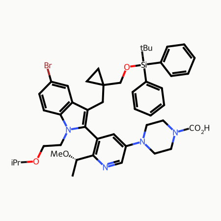 CO[C@@H](C)c1ncc(N2CCN(C(=O)O)CC2)cc1-c1c(CC2(CO[Si](c3ccccc3)(c3ccccc3)C(C)(C)C)CC2)c2cc(Br)ccc2n1CCOC(C)C